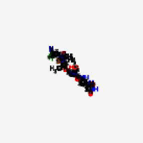 CCc1cc(N2C(=S)N(c3ccc(C#N)c(C(F)(F)F)c3)C(=O)C2(C)C)ccc1OCCN1CCN(CC(=O)Nc2cccc(NC3CCC(=O)NC3=O)c2)C(CO)C1